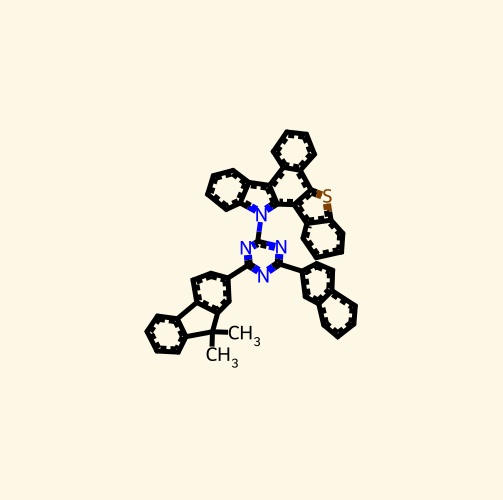 CC1(C)c2ccccc2-c2ccc(-c3nc(-c4ccc5ccccc5c4)nc(-n4c5ccccc5c5c6ccccc6c6sc7ccccc7c6c54)n3)cc21